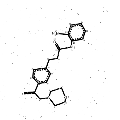 C=C(CN1CCOCC1)c1ccc(CCC(=O)Nc2ccccc2N)cc1